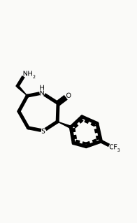 NC[C@@H]1CCS[C@H](c2ccc(C(F)(F)F)cc2)C(=O)N1